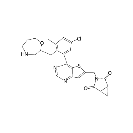 Cc1cc(Cl)cc(-c2ncnc3cc(CN4C(=O)C5CC5C4=O)sc23)c1CC1CNCCCO1